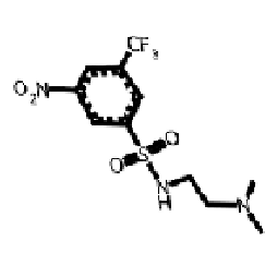 CN(C)CCNS(=O)(=O)c1cc([N+](=O)[O-])cc(C(F)(F)F)c1